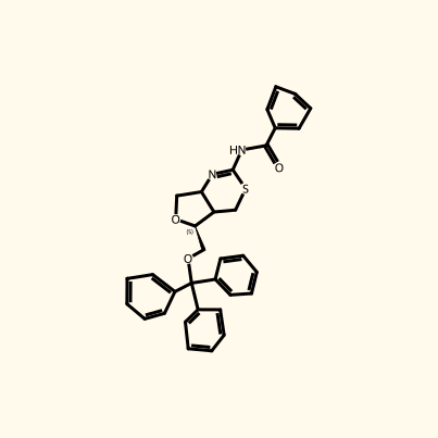 O=C(NC1=NC2CO[C@H](COC(c3ccccc3)(c3ccccc3)c3ccccc3)C2CS1)c1ccccc1